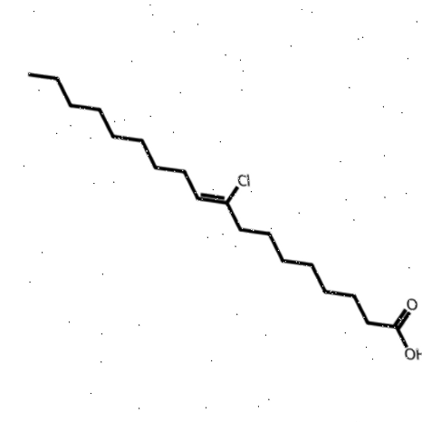 CCCCCCCCC=C(Cl)CCCCCCCC(=O)O